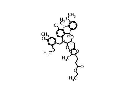 CCOC(=O)CCc1oc(C[C@@H]2O[C@@H](c3cccc(OC)c3OC)c3cc(Cl)ccc3N(Cc3ccc(OC)cc3OC)C2=O)nc1C